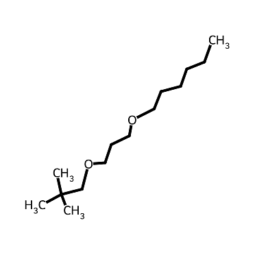 CCCCCCOCCCOCC(C)(C)C